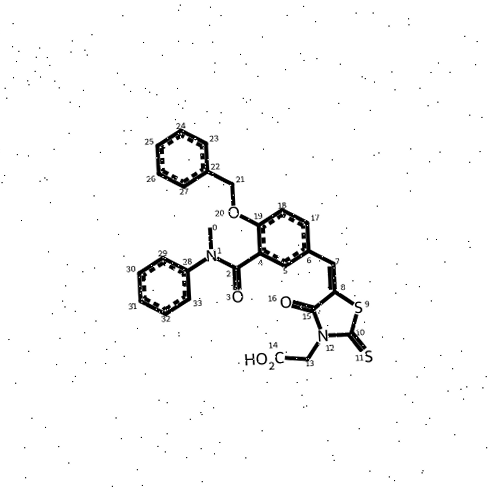 CN(C(=O)c1cc(C=C2SC(=S)N(CC(=O)O)C2=O)ccc1OCc1ccccc1)c1ccccc1